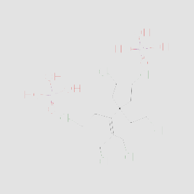 ClCCC(=C(CCl)CCl)C(CCCl)(CCCl)CCCl.O=P(O)(O)O.O=P(O)(O)O